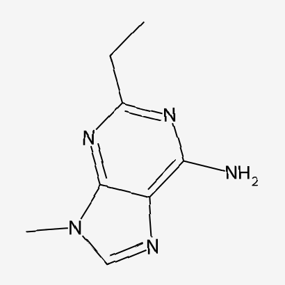 CCc1nc(N)c2ncn(C)c2n1